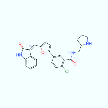 O=C1Nc2ccccc2/C1=C\c1ccc(-c2ccc(Cl)c(C(=O)NCC3CCCN3)c2)o1